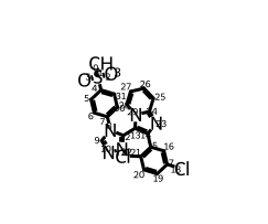 CS(=O)(=O)c1ccc(-n2cnnc2-c2c(-c3cc(Cl)ccc3Cl)nc3ccccn23)cc1